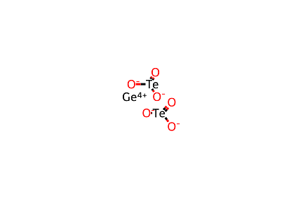 O=[Te]([O-])[O-].O=[Te]([O-])[O-].[Ge+4]